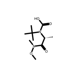 CON(C)C(=O)[C@@H](C)N(C(=O)O)C(C)(C)C